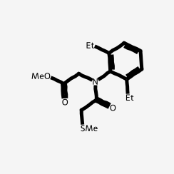 CCc1cccc(CC)c1N(CC(=O)OC)C(=O)CSC